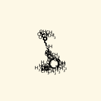 CO[C@@H]1C[C@H](O[C@H]2[C@H](C)[C@@H](O[C@@H]3O[C@H](C)C[C@H](N(C)C)[C@H]3O)[C@](C)(O)C[C@@H](C)CN(C)[C@H](C)[C@@H](O)[C@@]3(O)CC[C@H]3OC(=O)[C@@H]2C)O[C@@H](C)[C@@H]1OC(=O)CCNCCCc1ccc2c(c1)c(=O)c(C(=O)O)cn2N(C)C